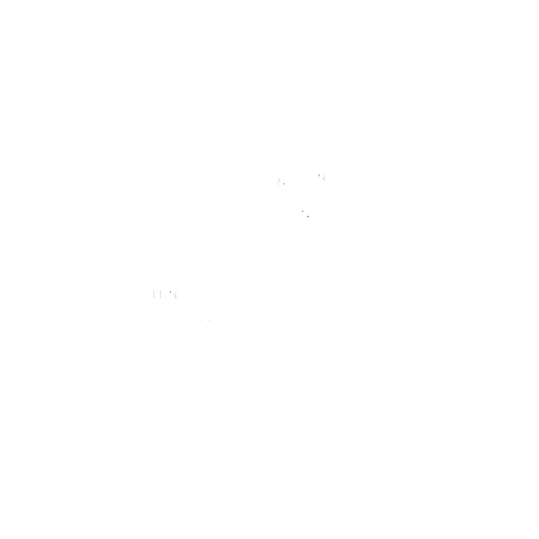 C/C=C(/c1ccc(-c2nc(-c3ccccc3)nc(-c3ccccc3)n2)cc1)c1c(N)oc2c(-c3ccc4ccccc4c3)cccc12